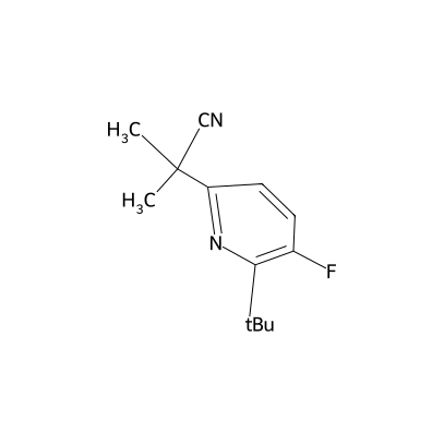 CC(C)(C)c1nc(C(C)(C)C#N)ccc1F